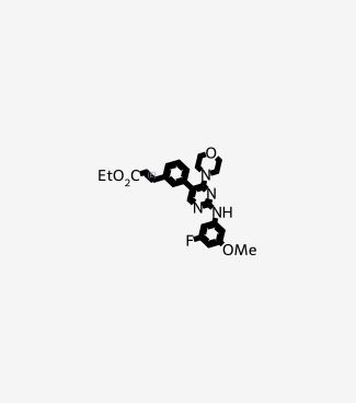 CCOC(=O)/C=C/c1cccc(-c2cnc(Nc3cc(F)cc(OC)c3)nc2N2CCOCC2)c1